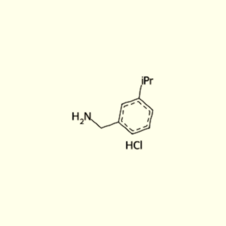 CC(C)c1cccc(CN)c1.Cl